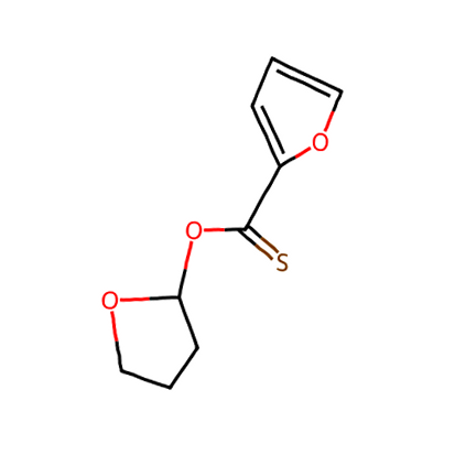 S=C(OC1CCCO1)c1ccco1